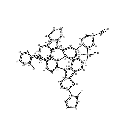 Cc1ccccc1-c1ccc2c(c1)c1ccccc1n2-c1ccc(C#N)cc1-c1ccc(-c2ccc(C#N)cc2C(F)(F)F)cc1-n1c2ccccc2c2cc(-c3ccccc3C)ccc21